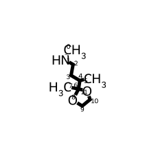 CNCCC(C)C1(C)OCCO1